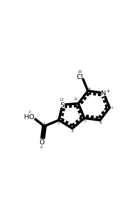 O=C(O)c1cc2ccnc(Cl)c2s1